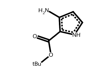 CC(C)(C)OC(=O)c1[nH]ccc1N